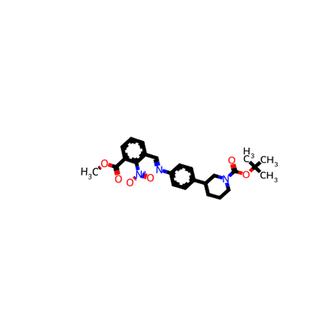 COC(=O)c1cccc(C=Nc2ccc(C3CCCN(C(=O)OC(C)(C)C)C3)cc2)c1[N+](=O)[O-]